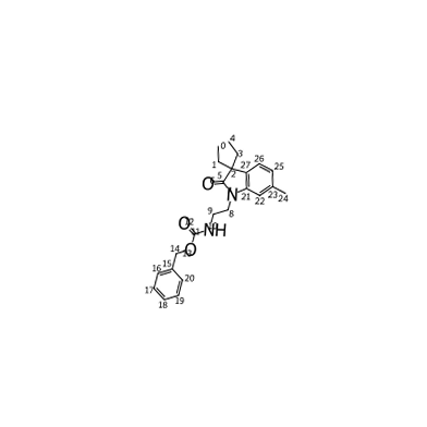 CCC1(CC)C(=O)N(CCNC(=O)OCc2ccccc2)c2cc(C)ccc21